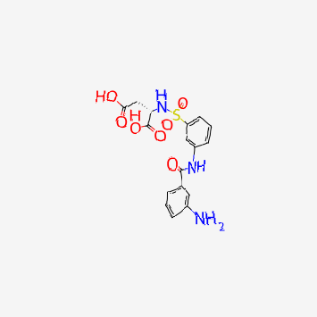 Nc1cccc(C(=O)Nc2cccc(S(=O)(=O)N[C@@H](CC(=O)O)C(=O)O)c2)c1